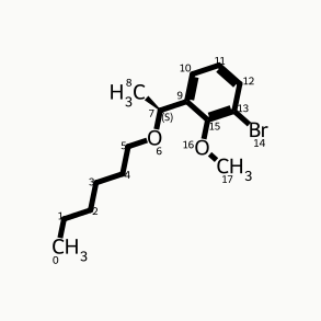 CCCCCCO[C@@H](C)c1cccc(Br)c1OC